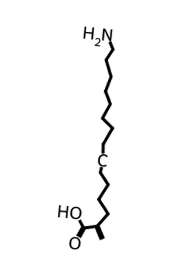 C=C(CCCCCCCCCCCCCN)C(=O)O